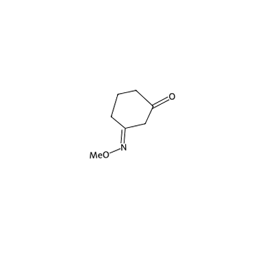 CON=C1CCCC(=O)C1